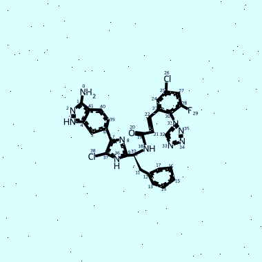 Nc1n[nH]c2cc(-c3nc([C@H](Cc4ccccc4)NC(=O)/C=C/c4cc(Cl)cc(F)c4-n4cnnn4)[nH]c3Cl)ccc12